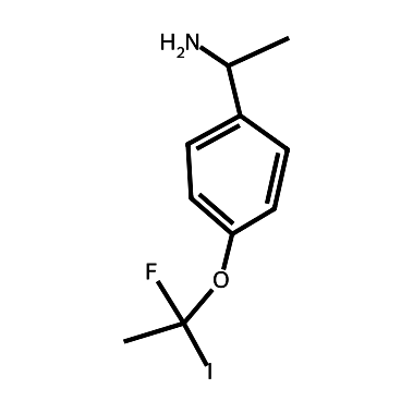 CC(N)c1ccc(OC(C)(F)I)cc1